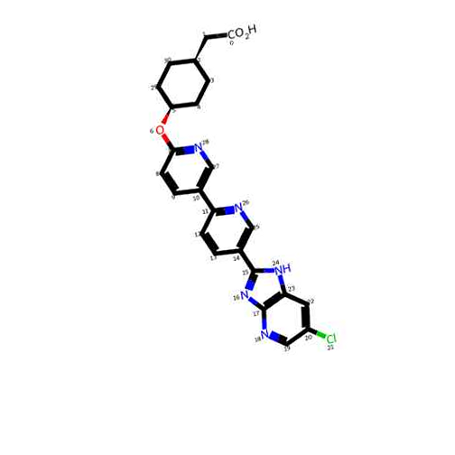 O=C(O)C[C@H]1CC[C@@H](Oc2ccc(-c3ccc(-c4nc5ncc(Cl)cc5[nH]4)cn3)cn2)CC1